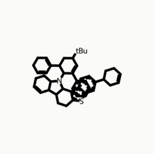 CC(C)(C)C1C=C(c2ccccc2)C(N2C3CCC=CC3C3CCc4sc5cc(C6CC=CCC6)ccc5c4C32)C(C2=CCCC=C2)C1